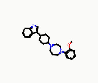 COc1ccccc1N1CCCN(C2CCC(C3=CN=C4CC=CC=C34)CC2)CC1